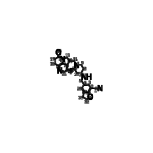 N#Cc1cc(CNC2CCN(C[C@@H]3Cn4c(=O)ccc5ncc(F)c3c54)CC2)cc2c1OCC2